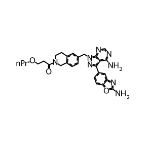 CCCOCCC(=O)N1CCc2cc(Cn3nc(-c4ccc5oc(N)nc5c4)c4c(N)ncnc43)ccc2C1